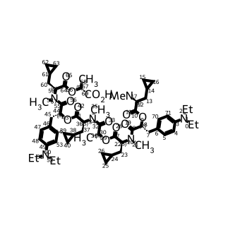 CCN(CC)c1ccc(C[C@@H](OC(=O)[C@H](CC2CC2)NC)C(=O)N(C)[C@@H](CC2CC2)C(=O)O[C@H](C)C(=O)N(C)[C@@H](CC2CC2)C(=O)O[C@H](Cc2ccc(N(CC)CC)cc2)C(=O)N(C)[C@@H](CC2CC2)C(=O)O[C@H](C)C(=O)O)cc1